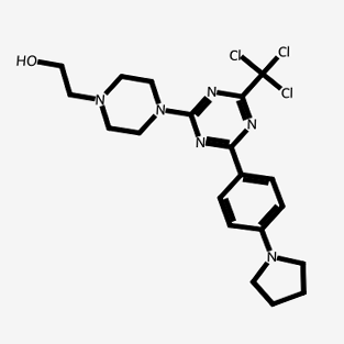 OCCN1CCN(c2nc(-c3ccc(N4CCCC4)cc3)nc(C(Cl)(Cl)Cl)n2)CC1